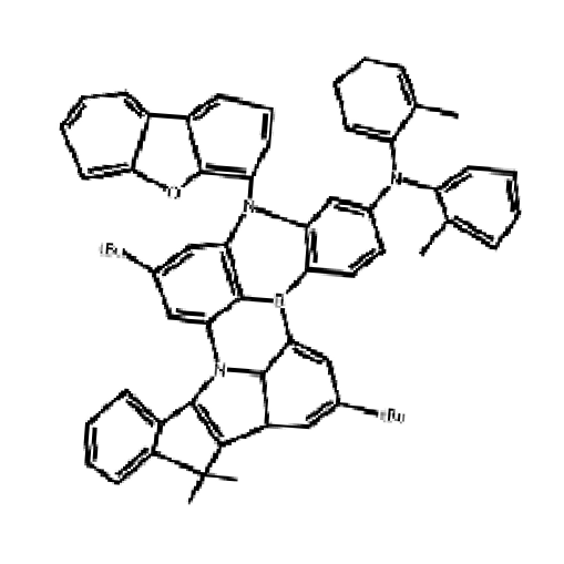 CC1=CCCC=C1N(c1ccc2c(c1)N(c1cccc3c1oc1ccccc13)c1cc(C(C)(C)C)cc3c1B2C1=CC(C(C)(C)C)=CC2C4=C(c5ccccc5C4(C)C)N3C12)c1ccccc1C